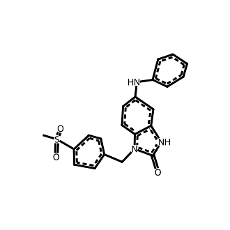 CS(=O)(=O)c1ccc(Cn2c(=O)[nH]c3cc(Nc4ccccc4)ccc32)cc1